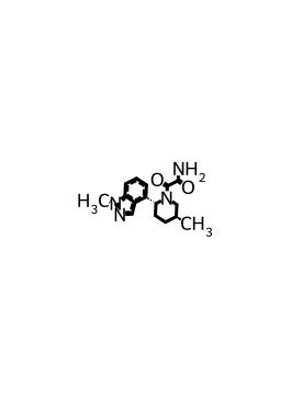 C[C@H]1CC[C@H](c2cccc3c2cnn3C)N(C(=O)C(N)=O)C1